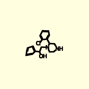 OC(CN1CCNCC1c1ccccc1Cl)c1ccccc1